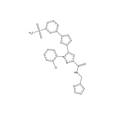 CS(=O)(=O)c1cccc(-c2ccc(-c3cc(C(=O)NCc4ccco4)nn3-c3ccccc3Cl)s2)c1